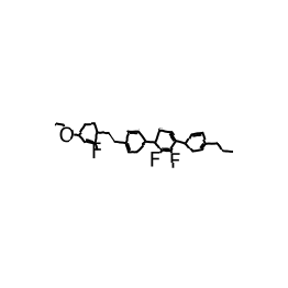 CCCC1=CCC(C2=CCC(C3C=CC(CCC4CCC(OCC)C=C4F)=CC3)C(F)=C2F)C=C1